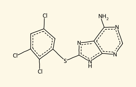 Nc1ncnc2[nH]c(Sc3cc(Cl)cc(Cl)c3Cl)nc12